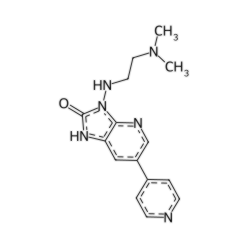 CN(C)CCNn1c(=O)[nH]c2cc(-c3ccncc3)cnc21